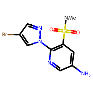 CNS(=O)(=O)c1cc(N)cnc1-n1cc(Br)cn1